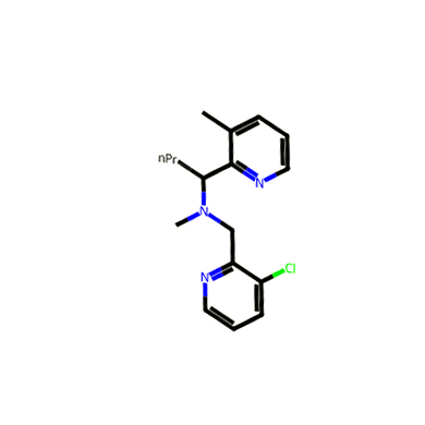 CCCC(c1ncccc1C)N(C)Cc1ncccc1Cl